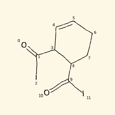 O=C(I)C1C=CCCC1C(=O)I